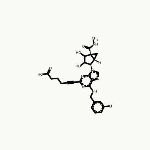 CNC(=O)[C@@]12C[C@@H]1[C@@H](n1cnc3c(NCc4cccc(Cl)c4)nc(C#CCCCC(=O)O)nc31)C(O)C2O